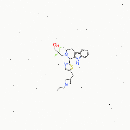 CCCN1CC(Cc2cnc([C@@H]3c4[nH]c5ccccc5c4C[C@@H](C)N3CC(F)(F)CO)s2)C1